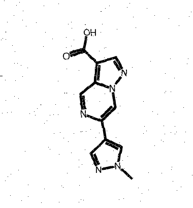 Cn1cc(-c2cn3ncc(C(=O)O)c3cn2)cn1